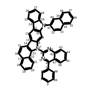 c1ccc(-c2nc(-n3c4cc5c(cc4c4ccc6ccccc6c43)c3ccccc3n5-c3ccc4ccccc4c3)nc3ccccc23)cc1